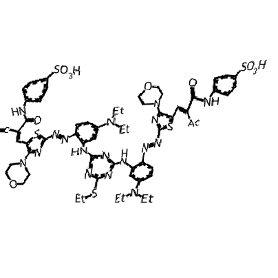 CCSc1nc(Nc2cc(N(CC)CC)ccc2/N=N/c2nc(N3CCOCC3)c(/C=C(/C(C)=O)C(=O)Nc3ccc(S(=O)(=O)O)cc3)s2)nc(Nc2cc(N(CC)CC)ccc2/N=N/c2nc(N3CCOCC3)c(/C=C(\C(C)=O)C(=O)Nc3ccc(S(=O)(=O)O)cc3)s2)n1